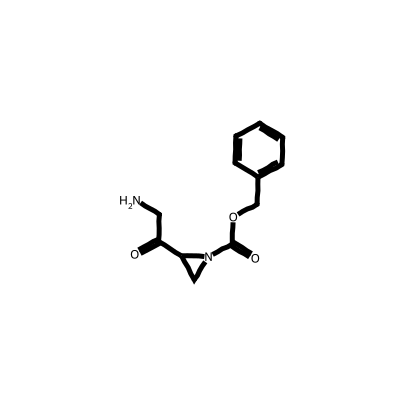 NCC(=O)C1CN1C(=O)OCc1ccccc1